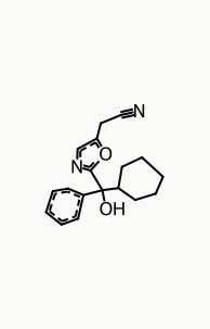 N#CCc1cnc(C(O)(c2ccccc2)C2CCCCC2)o1